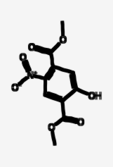 COC(=O)c1cc([N+](=O)[O-])c(C(=O)OC)cc1O